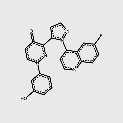 O=c1ccn(-c2cccc(O)c2)nc1-c1ccnn1-c1ccnc2ccc(F)cc12